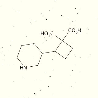 O=C(O)C1(C(=O)O)CCC1C1CCCNC1